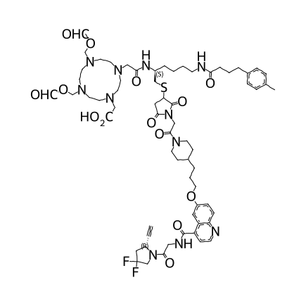 C#C[C@H]1CC(F)(F)CN1C(=O)CNC(=O)c1ccnc2ccc(OCCCC3CCN(C(=O)CN4C(=O)CC(SC[C@H](CCCCNC(=O)CCCc5ccc(C)cc5)NC(=O)CN5CCN(COC=O)CCN(COC=O)CCN(CC(=O)O)CC5)C4=O)CC3)cc12